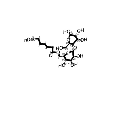 CCCCCCCCCCCCCCCC(=O)OC[C@H]1O[C@@H](O[C@H]2[C@H](O)[C@@H](O)[C@H](O)O[C@@H]2CO)[C@H](O)[C@@H](O)[C@@H]1O